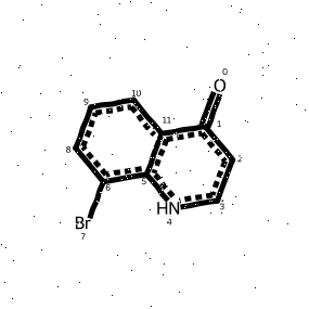 O=c1c[c][nH]c2c(Br)cccc12